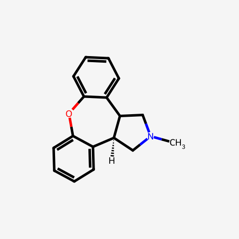 CN1CC2c3ccccc3Oc3ccccc3[C@@H]2C1